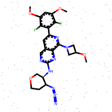 COc1cc(OC)c(F)c(-c2cc3cnc(N[C@@H]4COCCC4N=[N+]=[N-])nc3c(N3CC(OC)C3)n2)c1F